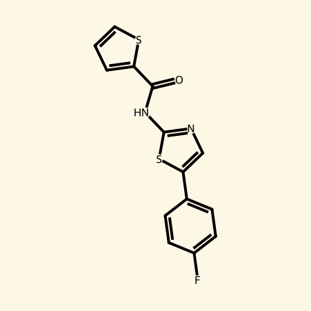 O=C(Nc1ncc(-c2ccc(F)cc2)s1)c1cccs1